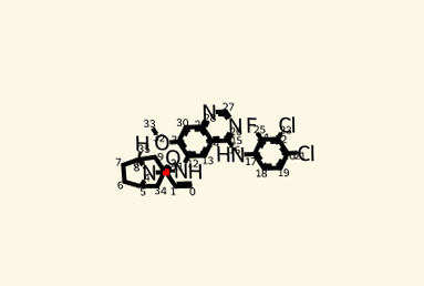 C=CC(=O)N1C2CC[C@@H]1C[C@@H](Nc1cc3c(Nc4ccc(Cl)c(Cl)c4F)ncnc3cc1OC)C2